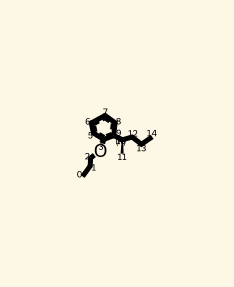 CCCOc1ccccc1[C@H](C)CCC